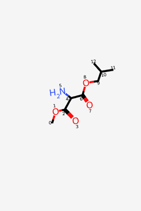 COC(=O)C(N)C(=O)OCC(C)C